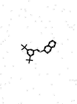 CC(C)(C)c1cc(C=Nc2ccc3ccccc3c2)cc(C(C)(C)C)c1